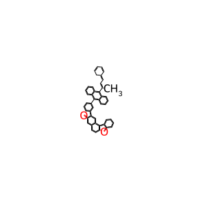 C/C(=C\C=C1\C=CC=CC1)c1c2ccccc2c(-c2ccc3oc4cc5ccc6oc7ccccc7c6c5cc4c3c2)c2ccccc12